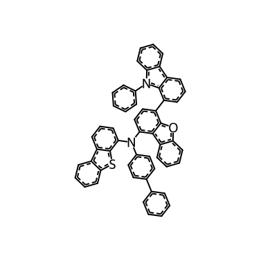 c1ccc(-c2ccc(N(c3cccc4c3sc3ccccc34)c3ccc(-c4cccc5c6ccccc6n(-c6ccccc6)c45)c4oc5ccccc5c34)cc2)cc1